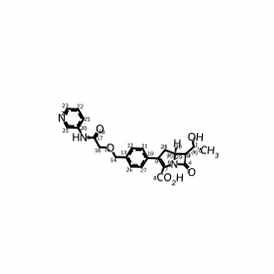 C[C@@H](O)[C@H]1C(=O)N2C(C(=O)O)=C(c3ccc(COCC(=O)Nc4cccnc4)cc3)C[C@H]12